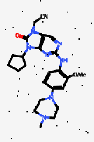 COc1cc(N2CCN(C)CC2)ccc1Nc1ncc2c(n1)n(C1CCCC1)c(=O)n2CC#N